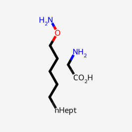 CCCCCCCCCCCCON.NCC(=O)O